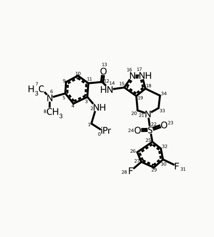 CC(C)CNc1cc(N(C)C)ccc1C(=O)Nc1n[nH]c2c1CN(S(=O)(=O)c1cc(F)cc(F)c1)CC2